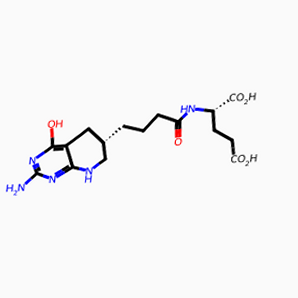 Nc1nc(O)c2c(n1)NC[C@@H](CCCC(=O)N[C@@H](CCC(=O)O)C(=O)O)C2